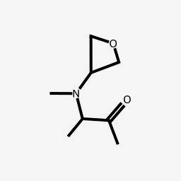 CC(=O)C(C)N(C)C1COC1